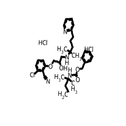 C=CCC(C)(C)NC(=O)OCc1ccccc1.CC(C)(CCCc1ccccn1)NCC(O)COc1cccc(Cl)c1C#N.Cl.Cl